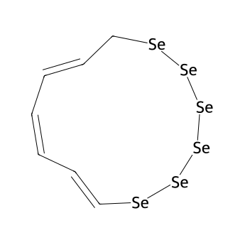 C1=C\C=C\[Se][Se][Se][Se][Se][Se]C/C=C/1